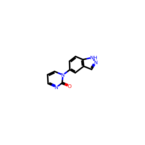 O=c1ncccn1-c1ccc2[nH]ncc2c1